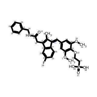 COc1cc(/C=C2/C(C)=C(CC(=O)NCc3ccccc3)c3cc(F)ccc32)cc(OC)c1OCCP(=O)(O)O